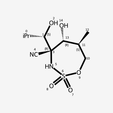 CC(C)[C@H](O)[C@@]1(C#N)NS(=O)(=O)OC[C@H](C)[C@H]1O